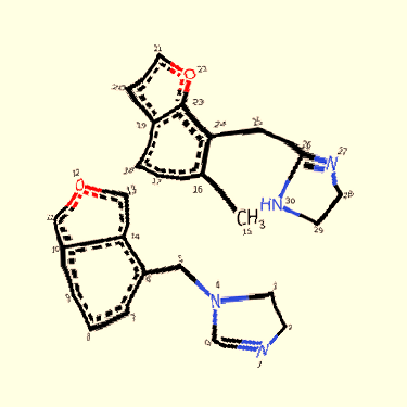 C1=NCCN1Cc1cccc2cocc12.Cc1ccc2ccoc2c1CC1=NCCN1